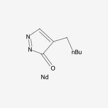 CCCCCC1=CN=NC1=O.[Nd]